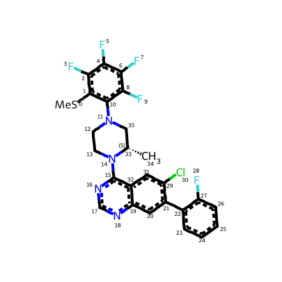 CSc1c(F)c(F)c(F)c(F)c1N1CCN(c2ncnc3cc(-c4ccccc4F)c(Cl)cc23)[C@@H](C)C1